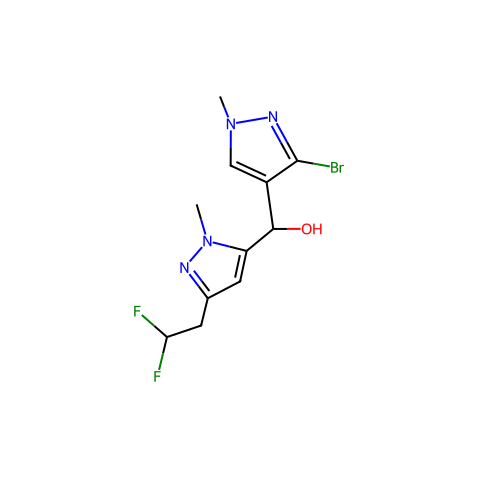 Cn1cc(C(O)c2cc(CC(F)F)nn2C)c(Br)n1